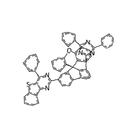 c1ccc(-c2nc(-c3ccccc3)nc(-c3cccc4c3C3(c5ccccc5Oc5ccccc53)c3cc(-c5nc(-c6ccccc6)c6sc7ccccc7c6n5)ccc3-4)n2)cc1